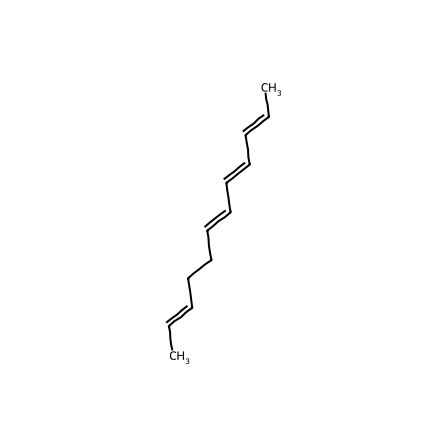 CC=CC=CC=CCCC=CC